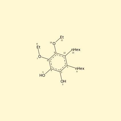 CCCCCCc1c(O)c(O)c(OCC)c(OCC)c1CCCCCC